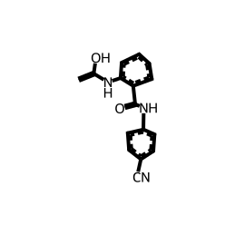 C=C(O)Nc1ccccc1C(=O)Nc1ccc(C#N)cc1